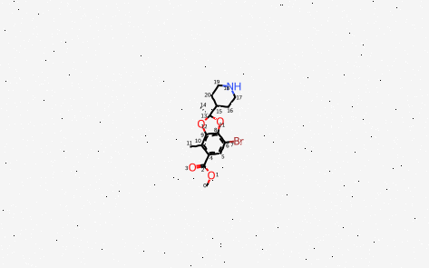 COC(=O)c1cc(Br)c2c(c1C)O[C@@](C)(C1CCNCC1)O2